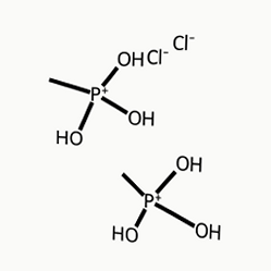 C[P+](O)(O)O.C[P+](O)(O)O.[Cl-].[Cl-]